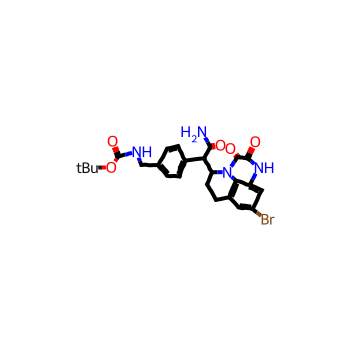 CC(C)(C)OC(=O)NCc1ccc(C(C(N)=O)C2CCc3cc(Br)cc4[nH]c(=O)c(=O)n2c34)cc1